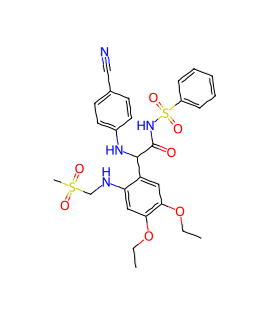 CCOc1cc(NCS(C)(=O)=O)c(C(Nc2ccc(C#N)cc2)C(=O)NS(=O)(=O)c2ccccc2)cc1OCC